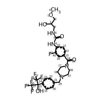 COCC(O)CNC(=O)Nc1ccc(C(=O)N2CCN(Cc3ccc(C(O)(C(F)(F)F)C(F)(F)F)cc3)CC2)cc1F